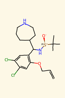 C=CCOc1cc(Cl)c(Cl)cc1C(N[S@@+]([O-])C(C)(C)C)C1CCCNCC1